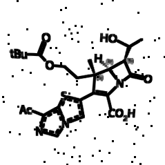 CC(=O)c1ncn2cc(C3=C(C(=O)O)N4C(=O)[C@H](C(C)O)[C@@H]4[C@@]3(C)CCOC(=O)C(C)(C)C)sc12